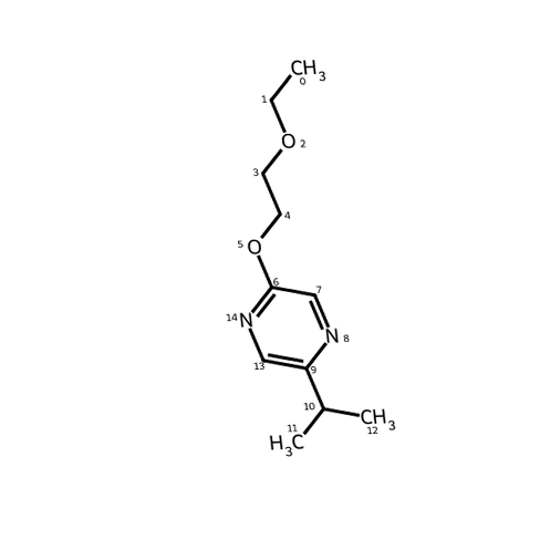 CCOCCOc1cnc(C(C)C)cn1